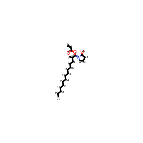 C=CC(=O)OC(C(C)CCCCCCCCCCCCC)N1CCCC1=O